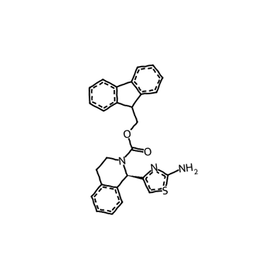 Nc1nc([C@H]2c3ccccc3CCN2C(=O)OCC2c3ccccc3-c3ccccc32)cs1